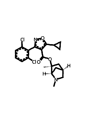 CN1C[C@H]2C[C@@H]1[C@@](C)(OC(=O)c1c(-c3c(Cl)cccc3Cl)noc1C1CC1)C2